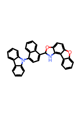 c1ccc2c(c1)oc1ccc3c(c12)NC(c1ccc(-n2c4ccccc4c4ccccc42)c2ccccc12)O3